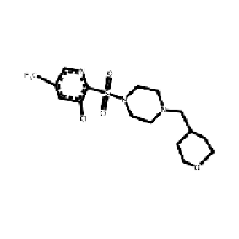 O=S(=O)(c1ncc(C(F)(F)F)cc1Cl)N1CCN(CC2CCOCC2)CC1